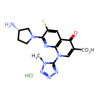 Cl.Cn1nnnc1-n1cc(C(=O)O)c(=O)c2cc(F)c(N3CC[C@H](N)C3)nc21